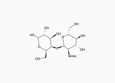 CC(=O)N[C@H]1[C@@H](O[C@@H]2[C@H](O)[C@@H](O)C(O)O[C@@H]2CO)O[C@H](CO)[C@@H](O)[C@@H]1O